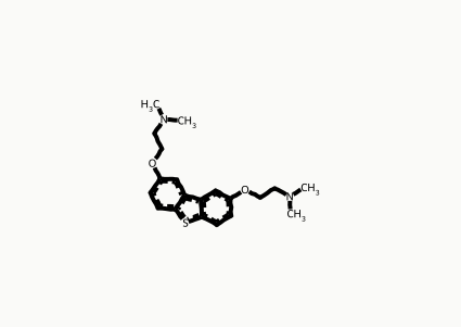 CN(C)CCOc1ccc2sc3ccc(OCCN(C)C)cc3c2c1